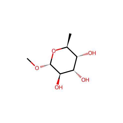 CO[C@@H]1O[C@@H](C)[C@H](O)[C@H](O)[C@H]1O